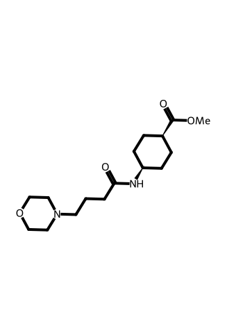 COC(=O)[C@H]1CC[C@@H](NC(=O)CCCN2CCOCC2)CC1